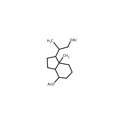 CC(=O)OCC(C)C1CCC2C(OC(C)=O)CCCC12C